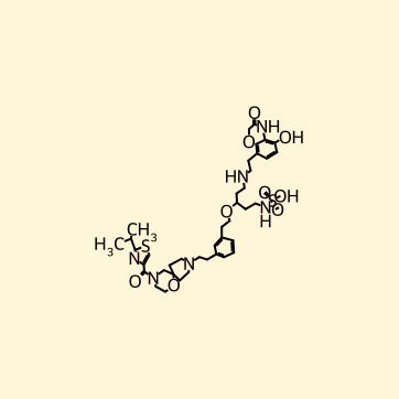 CC(C)c1nc(C(=O)N2CCOC3(CCN(CCc4cccc(CCOC(CCNCCc5ccc(O)c6c5OCC(=O)N6)CCNS(=O)(=O)O)c4)CC3)C2)cs1